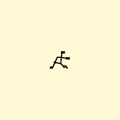 CC(C)N1CC(N=O)(N=O)C1C